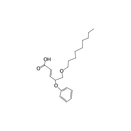 CCCCCCCCCOCC(C=CC(=O)O)Oc1ccccc1